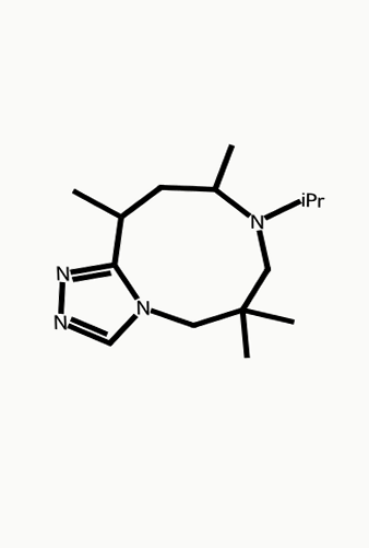 CC1CC(C)N(C(C)C)CC(C)(C)Cn2cnnc21